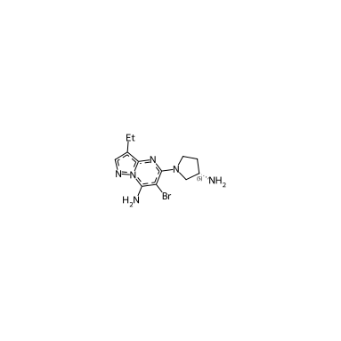 CCc1cnn2c(N)c(Br)c(N3CC[C@H](N)C3)nc12